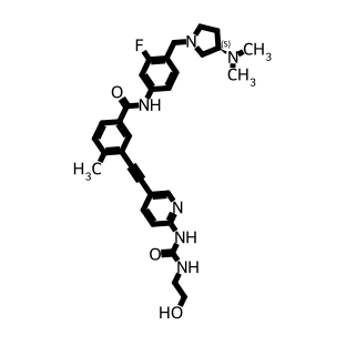 Cc1ccc(C(=O)Nc2ccc(CN3CC[C@H](N(C)C)C3)c(F)c2)cc1C#Cc1ccc(NC(=O)NCCO)nc1